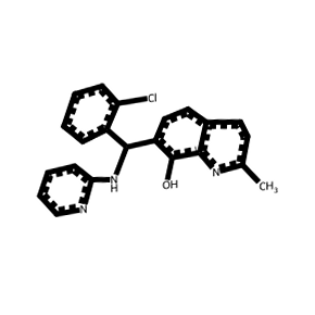 Cc1ccc2ccc(C(Nc3ccccn3)c3ccccc3Cl)c(O)c2n1